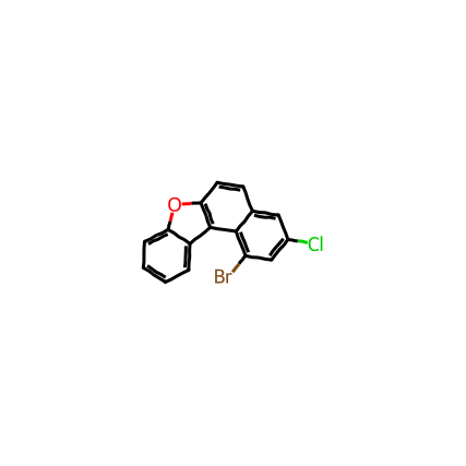 Clc1cc(Br)c2c(ccc3oc4ccccc4c32)c1